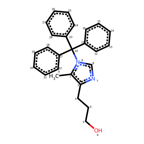 Cc1c(CCCO)ncn1C(c1ccccc1)(c1ccccc1)c1ccccc1